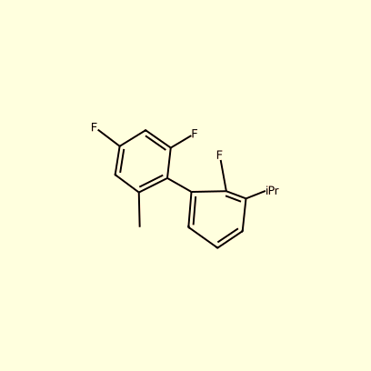 Cc1cc(F)cc(F)c1-c1cccc(C(C)C)c1F